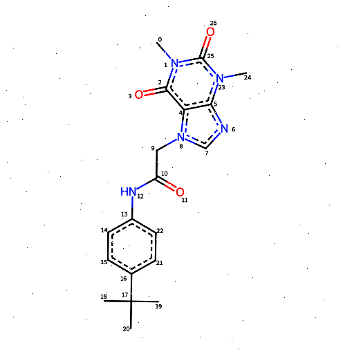 Cn1c(=O)c2c(ncn2CC(=O)Nc2ccc(C(C)(C)C)cc2)n(C)c1=O